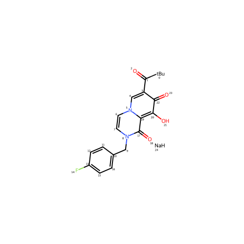 CC(C)(C)C(=O)c1cn2ccn(Cc3ccc(F)cc3)c(=O)c2c(O)c1=O.[NaH]